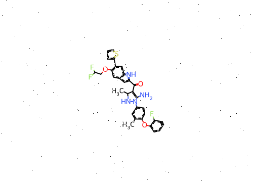 Cc1cc(N2NC(C)C(C(=O)c3cc4cc(OCC(F)F)c(-c5cccs5)cc4[nH]3)=C2N)ccc1Oc1ccc#cc1F